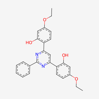 CCOc1ccc(-c2cc(-c3ccc(OCC)cc3O)nc(-c3ccccc3)n2)c(O)c1